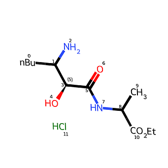 CCCCC(N)[C@H](O)C(=O)NC(C)C(=O)OCC.Cl